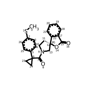 CSc1ccc(C2(C(=O)N3CC[C@@]4(C3)OC(=O)c3ccccc34)CC2)cc1